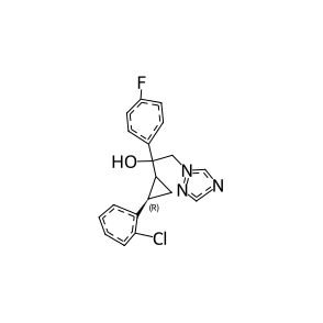 OC(Cn1cncn1)(c1ccc(F)cc1)C1C[C@H]1c1ccccc1Cl